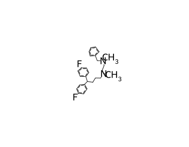 CN(CCCC(c1ccc(F)cc1)c1ccc(F)cc1)CCN(C)Cc1ccccc1